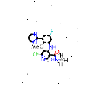 [2H]C([2H])([2H])NC(=O)c1cnc(Cl)cc1Nc1cc(F)cc(-c2ncccn2)c1OC